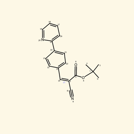 CC(C)(C)OC(=O)/C(C#N)=C\c1ccc(-c2ccccn2)cc1